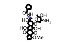 COc1cccc2c1C(=O)c1c(O)c3c(c(O)c1C2=O)C[C@@](O)(/C(C)=N/NC(=O)c1ccccc1)C[C@@H]3OC1CC(N)C(O)C(C)O1